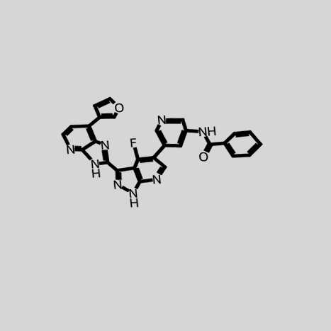 O=C(Nc1cncc(-c2cnc3[nH]nc(-c4nc5c(-c6ccoc6)ccnc5[nH]4)c3c2F)c1)c1ccccc1